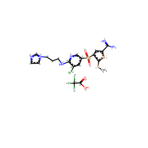 CSc1sc(C(=N)N)cc1S(=O)(=O)c1cnc(NCCCn2ccnc2)c(Br)c1.O=C(O)C(F)(F)F